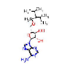 CC(C)C([SiH2]OC[C@H]1OC(n2cnc3c(N)ncnc32)[C@@H](O)[C@@H]1O)C(C)C